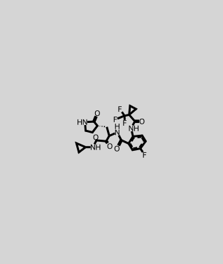 O=C(NC1CC1)C(=O)C(C[C@@H]1CCNC1=O)NC(=O)c1cc(F)ccc1NC(=O)C1(C(F)(F)F)CC1